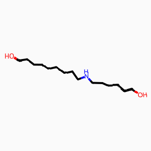 OCCCCCCCCCNCCCCCCO